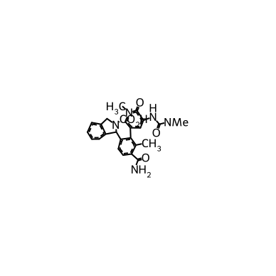 CNC(=O)Nc1cc(-c2c(C3c4ccccc4CN3C(=O)O)ccc(C(N)=O)c2C)cn(C)c1=O